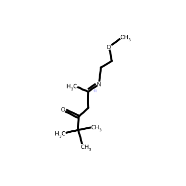 COCC/N=C(\C)CC(=O)C(C)(C)C